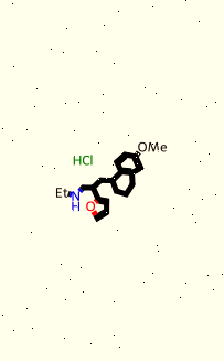 CCNCC(CC1CCCc2cc(OC)ccc21)c1ccco1.Cl